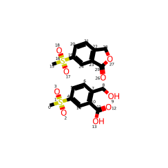 CS(=O)(=O)c1ccc(CO)c(C(=O)O)c1.CS(=O)(=O)c1ccc2c(c1)C(=O)OC2